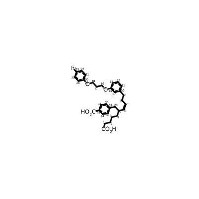 O=C(O)CCCCC(/C=C\CCc1cccc(OCCCOc2ccc(F)cc2)c1)Cc1ccc(C(=O)O)cc1